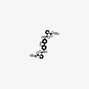 CC(C)(C)OC(=O)N1CCC[C@H]1C(=O)Nc1ccc(-c2ccc(NC(=O)[C@@H]3CCCN3C(=O)OC(C)(C)C)cc2F)c(F)c1